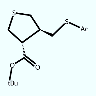 CC(=O)SC[C@@H]1CSC[C@H]1C(=O)OC(C)(C)C